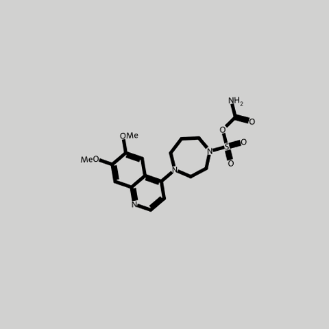 COc1cc2nccc(N3CCCN(S(=O)(=O)OC(N)=O)CC3)c2cc1OC